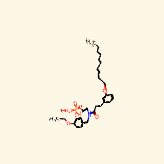 CCCCCCCCCCOc1cccc(CCC(=O)N(CCOP(=O)(O)O)Cc2ccc(OCC)cc2)c1